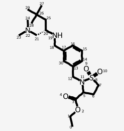 CCOC(=O)C1CCS(=O)(=O)N1Cc1cccc(CN[C@H](CN(C)C)CC(C)(C)C)c1